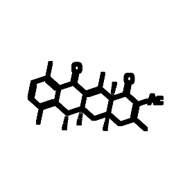 CC(=O)C1=C(C)C[C@@]2(C)C[C@]3(C)C(=C(C)[C@@]2(C)C1=O)C(=O)c1c(C)ccc(C)c1[C@H]3C